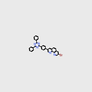 Brc1cnc2c(ccc3cc(-c4ccc(-c5nc(-c6ccccc6)nc(-c6ccccc6)n5)cc4)cnc32)c1